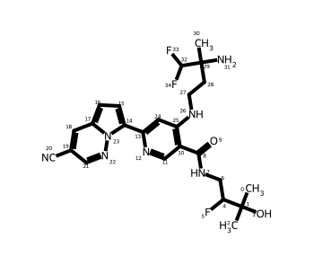 CC(C)(O)C(F)CNC(=O)c1cnc(-c2ccc3cc(C#N)cnn23)cc1NCCC(C)(N)C(F)F